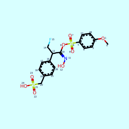 COc1ccc(S(=O)(=O)OC(=NO)C(CF)c2ccc(CS(=O)(=O)O)cc2)cc1